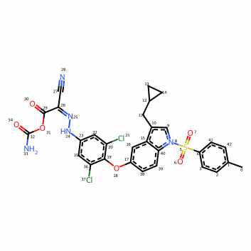 Cc1ccc(S(=O)(=O)n2cc(CC3CC3)c3cc(Oc4c(Cl)cc(NN=C(C#N)C(=O)OC(N)=O)cc4Cl)ccc32)cc1